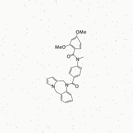 COc1ccc(C(=O)N(C)c2ccc(C(=O)N3Cc4cccn4Cc4ccccc43)cc2)c(OC)c1